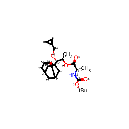 C[C@H](NC(=O)OC(C)(C)C)C(=O)O[C@@H](C)[C@H](OCC1CC1)C12CC3CC(CC(C3)C1)C2